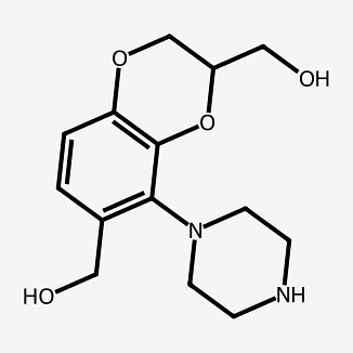 OCc1ccc2c(c1N1CCNCC1)OC(CO)CO2